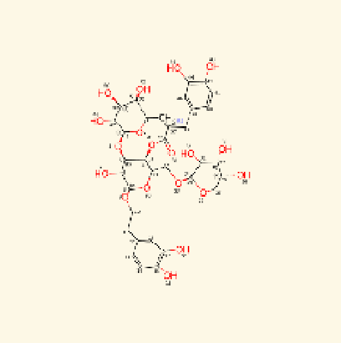 CC1O[C@@H](O[C@@H]2C(O)[C@H](OCCc3ccc(O)c(O)c3)OC(CO[C@@H]3OC[C@@H](O)[C@@H](O)C3O)[C@@H]2OC(=O)/C=C/c2ccc(O)c(O)c2)C(O)[C@@H](O)[C@H]1O